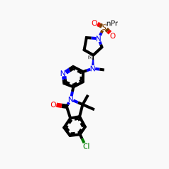 CCCS(=O)(=O)N1CC[C@H](N(C)c2cncc(N3C(=O)c4ccc(Cl)cc4C3(C)C)c2)C1